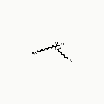 CCCCCCCCCC(=O)C(OC(=O)CCCCCCC)C(O)CO